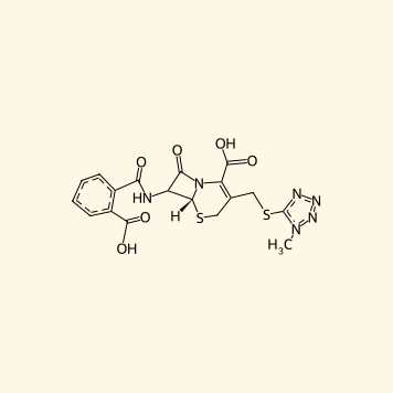 Cn1nnnc1SCC1=C(C(=O)O)N2C(=O)C(NC(=O)c3ccccc3C(=O)O)[C@H]2SC1